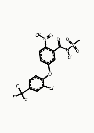 CS(=O)(=O)N(Cl)C(=O)c1cc(Oc2ccc(C(F)(F)F)cc2Cl)ccc1[N+](=O)[O-]